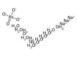 O.O.O.O.O.O.O.O.O.O.O.O.O=[As]([O-])([O-])[O-].[Na+].[Na+].[Na+]